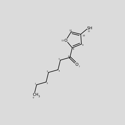 CCCCCCC(=O)c1cc(S)co1